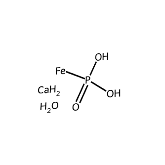 O.O=[P](O)(O)[Fe].[CaH2]